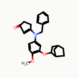 COc1ccc(N(Cc2ccccc2)C2=CC(=O)CC2)cc1OC1CC2CCC1C2